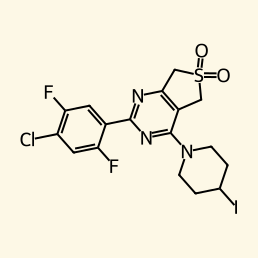 O=S1(=O)Cc2nc(-c3cc(F)c(Cl)cc3F)nc(N3CCC(I)CC3)c2C1